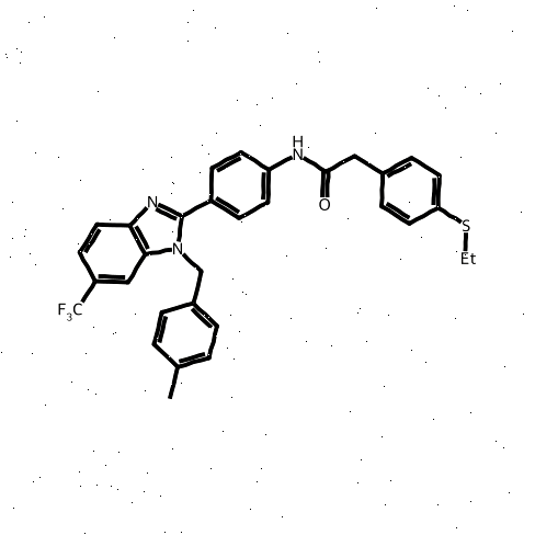 CCSc1ccc(CC(=O)Nc2ccc(-c3nc4ccc(C(F)(F)F)cc4n3Cc3ccc(C)cc3)cc2)cc1